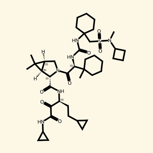 CN(C1CCC1)S(=O)(=O)CC1(NC(=O)N[C@H](C(=O)N2C[C@H]3[C@@H]([C@H]2C(=O)N[C@@H](CCC2CC2)C(=O)C(=O)NC2CC2)C3(C)C)C2(C)CCCCC2)CCCCC1